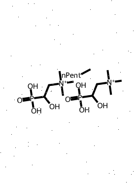 CCCCCC.C[N+](C)(C)CC(O)P(=O)(O)O.C[N+](C)(C)CC(O)P(=O)(O)O